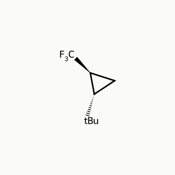 CC(C)(C)[C@H]1C[C@@H]1C(F)(F)F